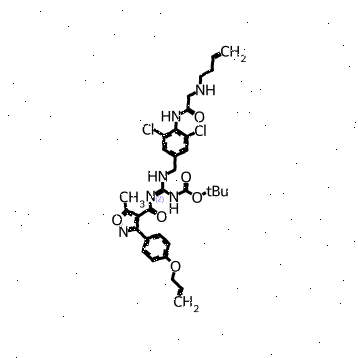 C=CCCNCC(=O)Nc1c(Cl)cc(CN/C(=N/C(=O)c2c(-c3ccc(OCC=C)cc3)noc2C)NC(=O)OC(C)(C)C)cc1Cl